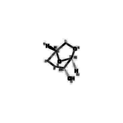 O[C@@H]1CC[C@@H]2CO[C@@H]1O2